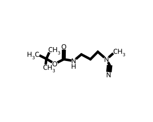 CN(C#N)CCCNC(=O)OC(C)(C)C